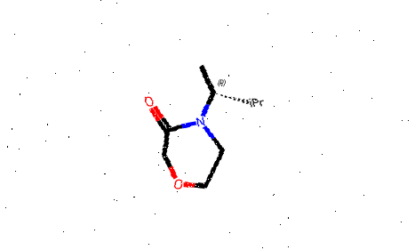 CC(C)[C@@H](C)N1CCOCC1=O